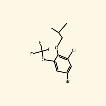 CC(C)COc1c(Cl)cc(Br)cc1OC(F)(F)F